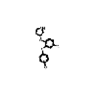 Clc1ccc(Oc2cc(Cl)ccc2O[C@H]2CCNC2)cc1